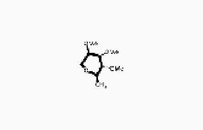 CO[C@@H]1[C@H](OC)[C@@H](C)O[CH][C@H]1OC